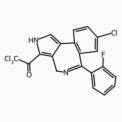 O=C(c1[nH]cc2c1CN=C(c1ccccc1F)c1cc(Cl)ccc1-2)C(Cl)(Cl)Cl